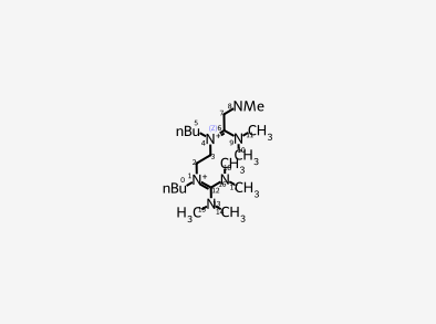 CCCC[N+](CC/[N+](CCCC)=C(/CNC)N(C)C)=C(N(C)C)N(C)C